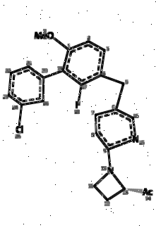 COc1ccc(Cc2ccc(N3CC[C@H]3C(C)=O)nc2)c(F)c1-c1cccc(Cl)c1